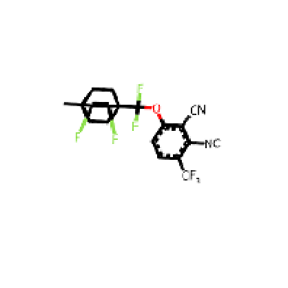 [C-]#[N+]c1c(C(F)(F)F)ccc(OC(F)(F)C23CCC(C)(CC2)C(F)=C3F)c1C#N